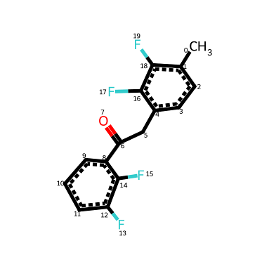 Cc1ccc(CC(=O)c2cccc(F)c2F)c(F)c1F